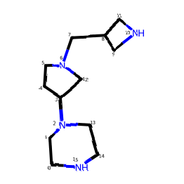 C1CN(C2CCN(CC3CNC3)C2)CCN1